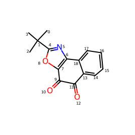 CC(C)(C)c1nc2c(o1)C(=O)C(=O)c1ccccc1-2